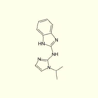 CC(C)n1ccnc1Nc1nc2ccccc2[nH]1